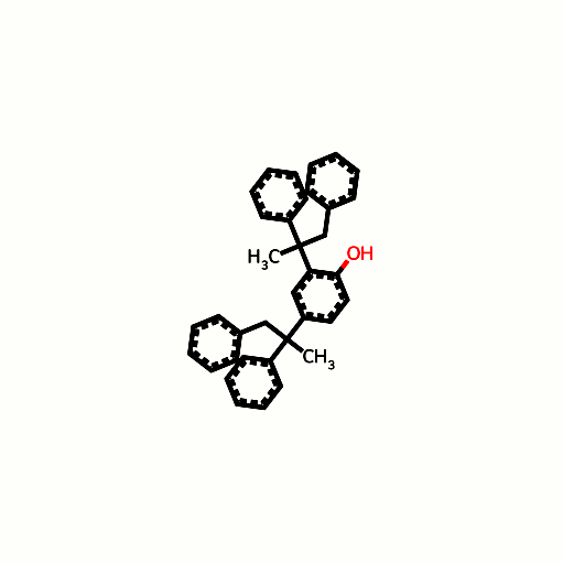 CC(Cc1ccccc1)(c1ccccc1)c1ccc(O)c(C(C)(Cc2ccccc2)c2ccccc2)c1